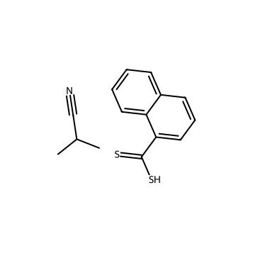 CC(C)C#N.S=C(S)c1cccc2ccccc12